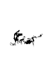 COc1ccc(C)cc1NC(=O)Nc1cncc(N=[N+]=[N-])n1